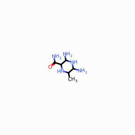 CC1NC(C(N)=O)C(N)NC1N